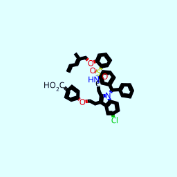 C=CC=C(C)COc1ccccc1S(=O)(=O)NCCc1c(CCOc2ccc(C(=O)O)cc2)c2cc(Cl)ccc2n1C(c1ccccc1)c1ccccc1